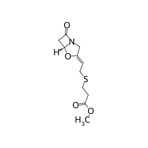 COC(=O)CCSC/C=C1/CN2C(=O)C[C@H]2O1